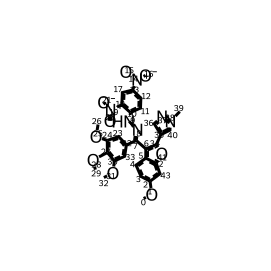 COc1ccc2c(/C(=N/Nc3ccc([N+](=O)[O-])cc3[N+](=O)[O-])c3cc(OC)c(OC)c(OC)c3)c(-c3cnn(C)c3)oc2c1